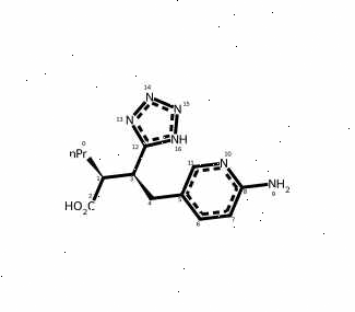 CCC[C@H](C(=O)O)[C@H](Cc1ccc(N)nc1)c1nnn[nH]1